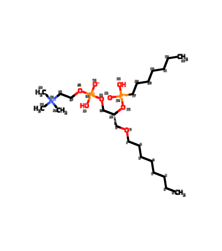 CCCCCCCCOC[C@H](CO[P+]([O-])(O)OCC[N+](C)(C)C)O[P+]([O-])(O)CCCCCCC